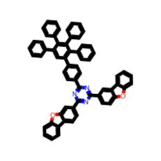 c1ccc(-c2cc(-c3ccc(-c4nc(-c5ccc6c(c5)oc5ccccc56)nc(-c5ccc6oc7ccccc7c6c5)n4)cc3)c(-c3ccccc3)c(-c3ccccc3)c2-c2ccccc2)cc1